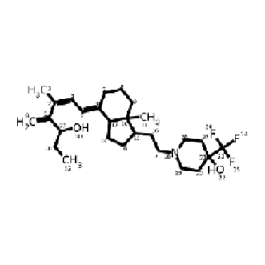 C=C(/C(C)=C\C=C1/CCCC2(C)C1CC[C@@H]2CCN1CCC(O)(C(F)(F)F)CC1)C(O)CC